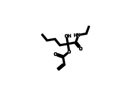 C=CC(=O)OC(O)(CCCC)C(=O)NCC